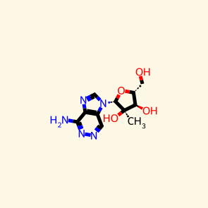 C[C@@]1(O)[C@H](O)[C@@H](CO)O[C@H]1n1cnc2c(N)nncc21